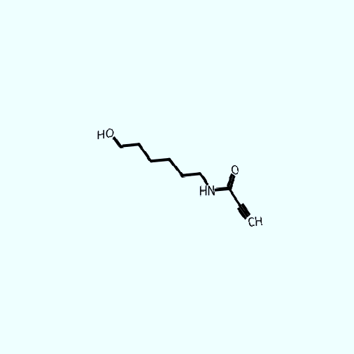 C#CC(=O)NCCCCCCO